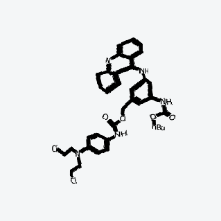 CCCCOC(=O)Nc1cc(COC(=O)Nc2ccc(N(CCCl)CCCl)cc2)cc(Nc2c3ccccc3nc3ccccc23)c1